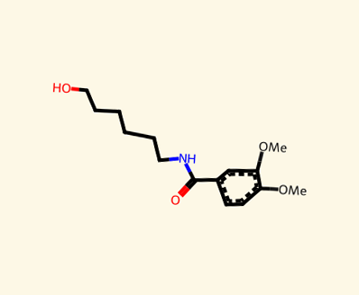 COc1ccc(C(=O)NCCCCCCO)cc1OC